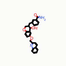 NC(=O)c1cccc(CC2COc3ccc(OCc4ccc5ccccc5n4)cc3C2O)c1